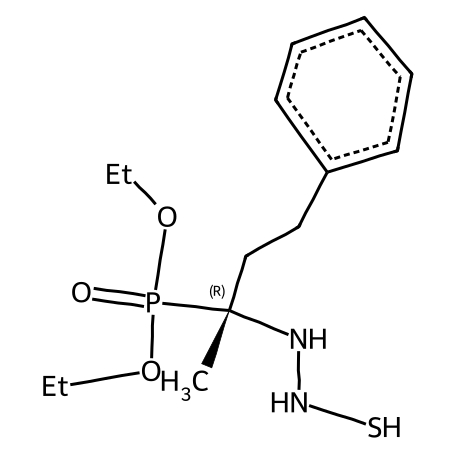 CCOP(=O)(OCC)[C@](C)(CCc1ccccc1)NNS